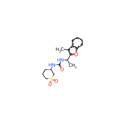 Cc1c([C@@H](C)NC(=O)NC2CCCS(=O)(=O)C2)oc2ccccc12